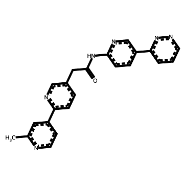 Cc1cc(-c2ccc(CC(=O)Nc3ccc(-c4cccnn4)cn3)cn2)ccn1